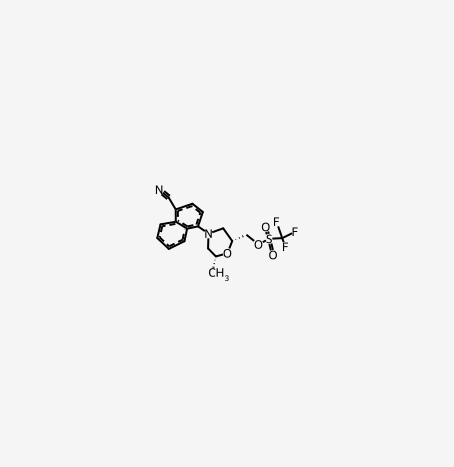 C[C@@H]1CN(c2ccc(C#N)c3ccccc23)C[C@H](COS(=O)(=O)C(F)(F)F)O1